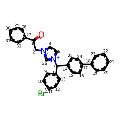 O=C(Cn1cc[n+](C(c2ccccc2)c2ccc(-c3ccccc3)cc2)c1)c1ccccc1.[Br-]